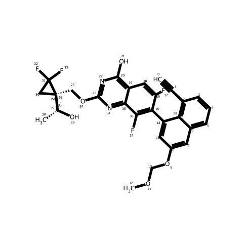 C#Cc1cccc2cc(OCOC)cc(-c3c(F)cc4c(O)nc(OC[C@]5([C@@H](C)O)CC5(F)F)nc4c3F)c12